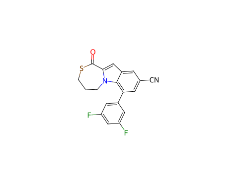 N#Cc1cc(-c2cc(F)cc(F)c2)c2c(c1)cc1n2CCCSC1=O